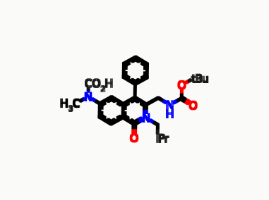 CC(C)Cn1c(CNC(=O)OC(C)(C)C)c(-c2ccccc2)c2cc(N(C)C(=O)O)ccc2c1=O